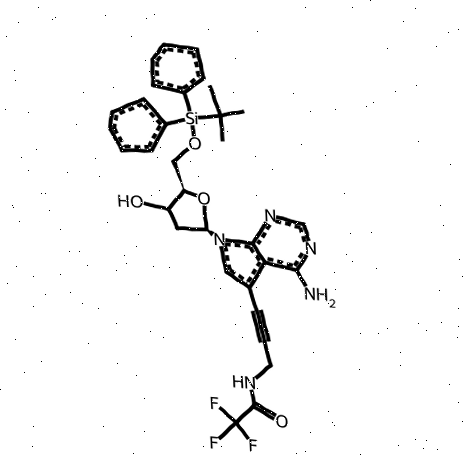 CC(C)(C)[Si](OC[C@H]1O[C@@H](n2cc(C#CCNC(=O)C(F)(F)F)c3c(N)ncnc32)CC1O)(c1ccccc1)c1ccccc1